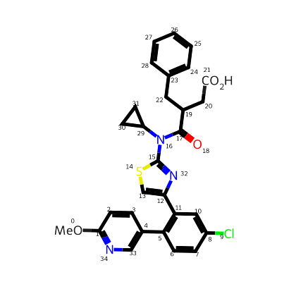 COc1ccc(-c2ccc(Cl)cc2-c2csc(N(C(=O)C(CC(=O)O)Cc3ccccc3)C3CC3)n2)cn1